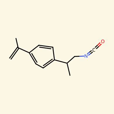 C=C(C)c1ccc(C(C)CN=C=O)cc1